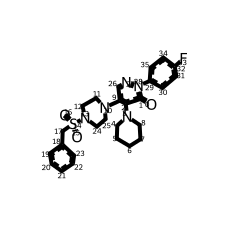 O=c1c(N2CCCCC2)c(N2CCN(S(=O)(=O)Cc3ccccc3)CC2)cnn1-c1ccc(F)cc1